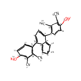 N#Cc1c(O)ccc(-c2ccc(-c3ccc(O)c(C#N)c3C#N)c3ccccc23)c1C#N